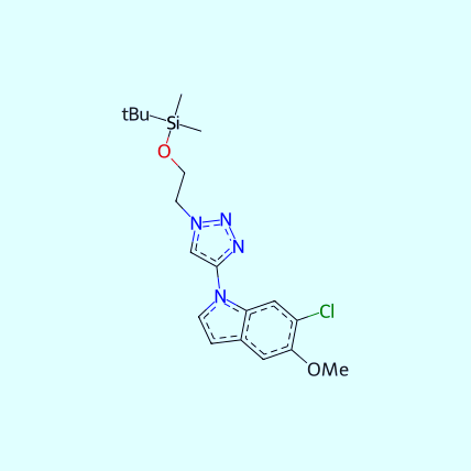 COc1cc2ccn(-c3cn(CCO[Si](C)(C)C(C)(C)C)nn3)c2cc1Cl